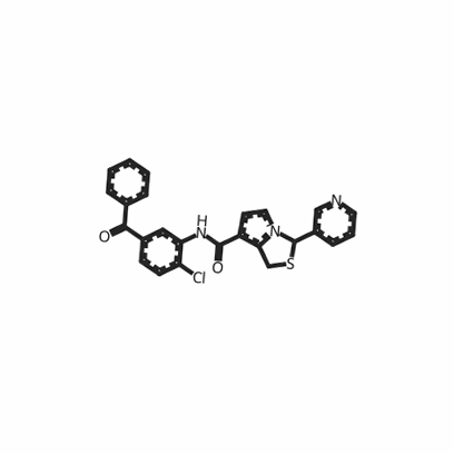 O=C(c1ccccc1)c1ccc(Cl)c(NC(=O)c2ccn3c2CSC3c2cccnc2)c1